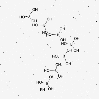 OB(O)O.OB(O)O.OB(O)O.OB(O)O.OB(O)O.OB(O)O.OB(O)O.[KH]